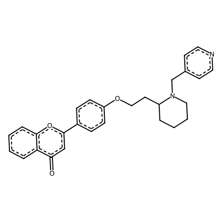 O=c1cc(-c2ccc(OCCC3CCCCN3Cc3ccncc3)cc2)oc2ccccc12